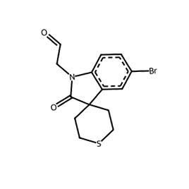 O=CCN1C(=O)C2(CCSCC2)c2cc(Br)ccc21